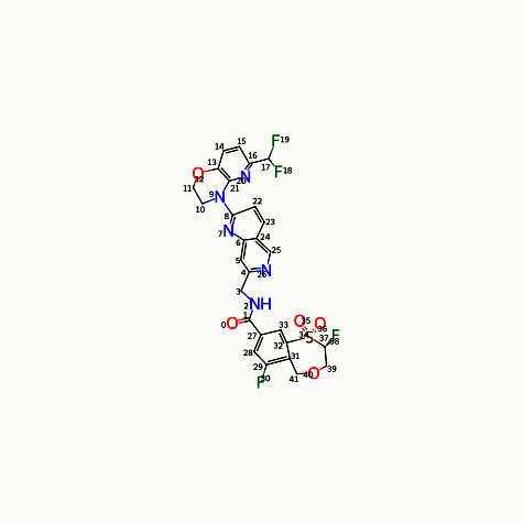 O=C(NCc1cc2nc(N3CCOc4ccc(C(F)F)nc43)ccc2cn1)c1cc(F)c2c(c1)S(=O)(=O)[C@@H](F)COC2